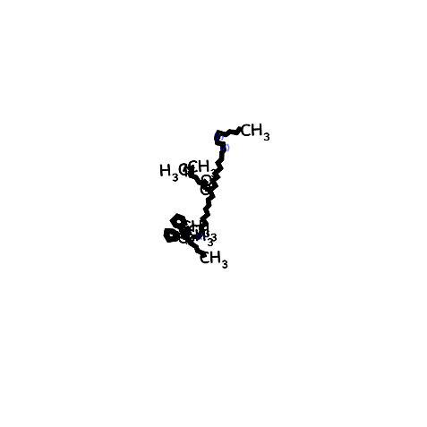 CCCCC/C=C\C/C=C\CCCCCCCCC(CCCCCCCC/C=C\C[C@@H](CCCCC)O[Si](c1ccccc1)(c1ccccc1)C(C)(C)C)OC(=O)CCCN(C)C